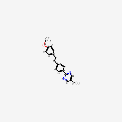 CCCCc1cnc(-c2ccc(CCc3ccc(OC(F)(F)F)cc3)cc2)nc1